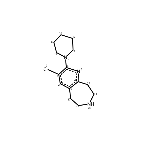 Clc1cc2c(nc1N1CCCCC1)CCNCC2